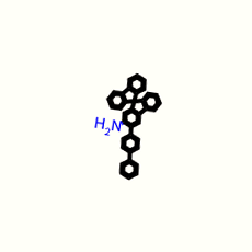 Nc1cc2c(cc1-c1ccc(-c3ccccc3)cc1)-c1ccccc1C21c2ccccc2-c2ccccc21